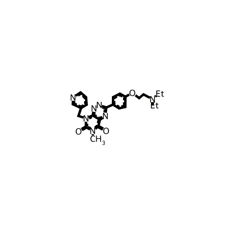 CCN(CC)CCOc1ccc(-c2nnc3c(n2)c(=O)n(C)c(=O)n3Cc2cccnc2)cc1